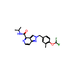 Cc1cc(Cn2cc3c(C(=O)NC(C)C)nccc3n2)ccc1OC(F)F